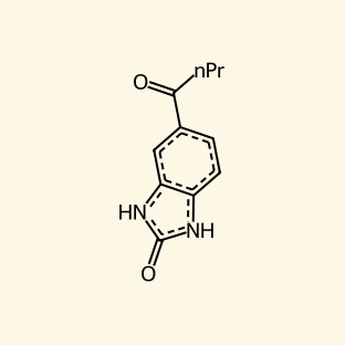 CCCC(=O)c1ccc2[nH]c(=O)[nH]c2c1